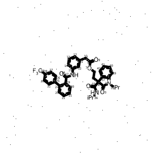 CC(C)NC(=O)C(CCOC(=O)Cc1cccc(NC(=O)c2ccccc2-c2ccc(C(F)(F)F)cc2)c1)(C(=O)NC(C)C)c1ccccc1